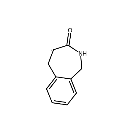 O=C1[C]Cc2ccccc2CN1